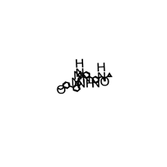 COc1cccc(-c2cccc3[nH]c(-c4n[nH]c5ccc(-c6cncc(NC(=O)C7CC7)c6)nc45)nc23)c1